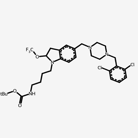 CC(C)(C)OC(=O)NCCCCN1c2ccc(CN3CCN(Cc4c(Cl)cccc4Cl)CC3)cc2CC1OC(F)(F)F